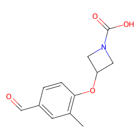 Cc1cc(C=O)ccc1OC1CN(C(=O)O)C1